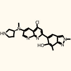 Cc1c(O)c(-c2cc(Cl)c3cc(N(C)[C@H]4CCNC4)cnc3n2)cc2cn(C)nc12